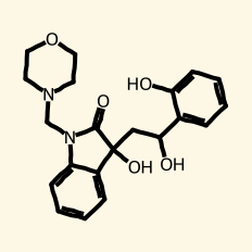 O=C1N(CN2CCOCC2)c2ccccc2C1(O)CC(O)c1ccccc1O